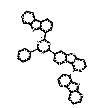 c1ccc(-c2nc(-c3ccc4c(c3)sc3cccc(-c5cccc6c5oc5ccccc56)c34)nc(-c3cccc4c3sc3ccccc34)n2)cc1